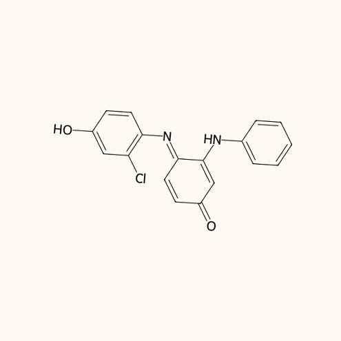 O=C1C=C/C(=N\c2ccc(O)cc2Cl)C(Nc2ccccc2)=C1